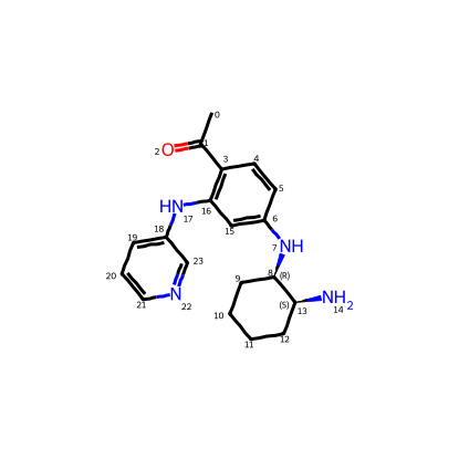 CC(=O)c1ccc(N[C@@H]2CCCC[C@@H]2N)cc1Nc1cccnc1